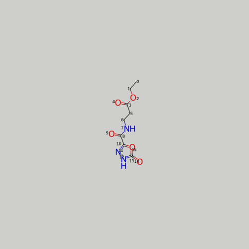 CCOC(=O)CCNC(=O)c1n[nH]c(=O)o1